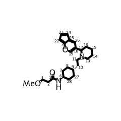 COCCC(=O)N[C@H]1CC[C@H](CCN2CCCCC2c2coc3cccc-3c2)CC1